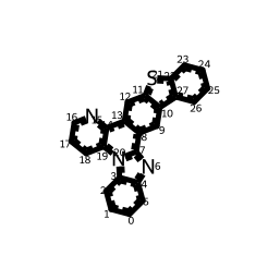 c1ccc2c(c1)nc1c3cc4c(cc3c3ncccc3n21)sc1ccccc14